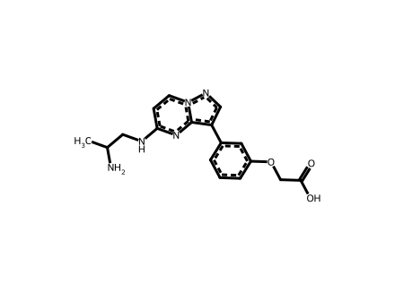 CC(N)CNc1ccn2ncc(-c3cccc(OCC(=O)O)c3)c2n1